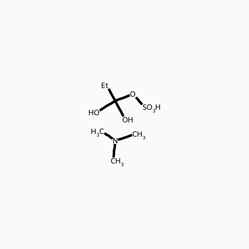 CCC(O)(O)OS(=O)(=O)O.CN(C)C